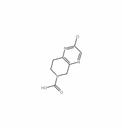 O=C(O)N1CCc2nc(Cl)cnc2C1